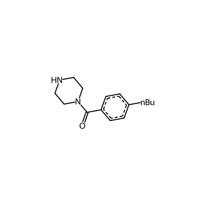 CCCCc1ccc(C(=O)N2CCNCC2)cc1